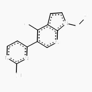 Cc1nccc(-c2cnc3c(ccn3SF)c2Cl)n1